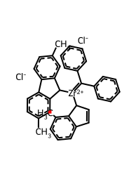 Cc1ccc2c(c1)[CH]([Zr+2](=[C](c1ccccc1)c1ccccc1)[CH]1C=Cc3cccc(C)c31)c1cc(C)ccc1-2.[Cl-].[Cl-]